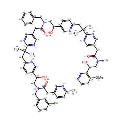 CCCN(CC(O)c1cnccc1OC)C(=O)Cc1cnc(C(C)(C)Cc2ccc(C(O)CN(Cc3ccccc3)C(=O)Cc3cnc(C(C)(C)Cc4ccc(C(O)CN(Cc5cccc(F)c5)C(=O)Cc5ccc(C(F)(F)F)nc5)cn4)nc3)cn2)nc1